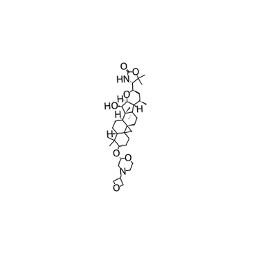 C[C@@H]1C[C@H]([C@@H]2NC(=O)OC2(C)C)O[C@H]2[C@H]1[C@@]1(C)CC[C@@]34CC35CCC(O[C@H]3CN(C6COC6)CCO3)C(C)(C)[C@@H]5CC[C@H]4[C@]1(C)[C@H]2O